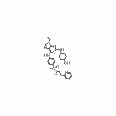 CCn1cnc2c(Nc3ccc(S(=O)(=O)NCCc4ccccn4)cc3)nc(NC3CCC(O)CC3)nc21